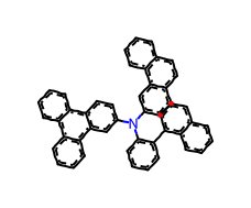 c1ccc(N(c2ccc3ccc4ccccc4c3c2)c2ccc3c4ccccc4c4ccccc4c3c2)c(-c2cccc3ccccc23)c1